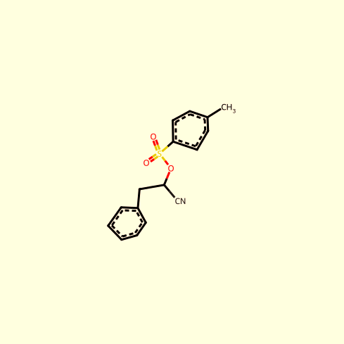 Cc1ccc(S(=O)(=O)OC(C#N)Cc2ccccc2)cc1